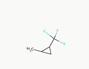 [CH2]C1CC1C(F)(F)F